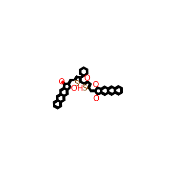 O=C1C(=Cc2cc3c(s2)-c2sc(/C=C4/C(=O)c5cc6cc7ccccc7cc6cc5C4O)cc2C2(CCCCC2)O3)C(=O)c2cc3cc4ccccc4cc3cc21